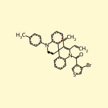 C=CC1=C(C=C)C2(c3ccccc3N1C(=O)c1cscc1Br)c1ccccc1N(c1ccc(C)cc1)c1ccccc12